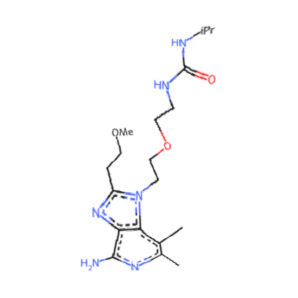 COCCc1nc2c(N)nc(C)c(C)c2n1CCOCCNC(=O)NC(C)C